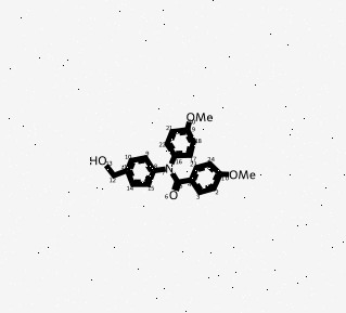 COc1ccc(C(=O)N(c2ccc(CO)cc2)c2ccc(OC)cc2)cc1